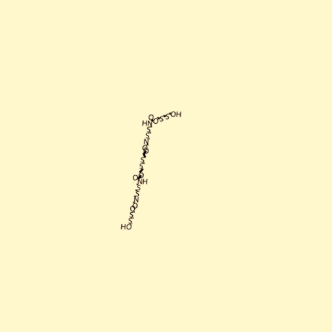 O=C(NCSCSC/N=C/OOCSCSCO)OCCSCSCCOO/C=N/CSCSCNC(=O)OCSCSCO